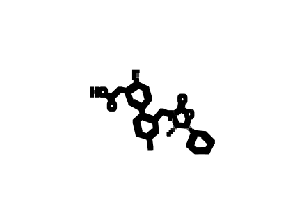 Cc1ccc(-c2ccc(F)c(CC(=O)O)c2)c(CN2C(=O)O[C@H](c3ccccc3)[C@@H]2C)c1